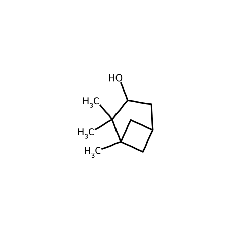 CC12CC(CC(O)C1(C)C)C2